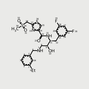 CCc1cccc(CNC[C@H](O)[C@H](Cc2cc(F)cc(F)c2)NC(=O)c2csc(CS(C)(=O)=O)n2)c1